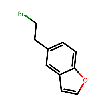 BrCCc1ccc2occc2c1